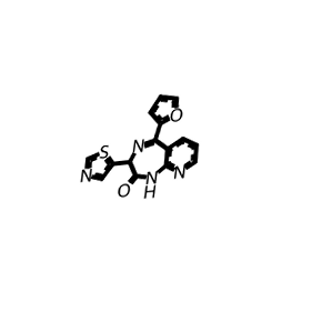 O=C1Nc2ncccc2C(c2ccco2)=NC1c1cncs1